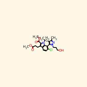 CCn1c(C(=O)OC)c(CCC(=O)OC)c2ccc(Cl)c(-c3c(C)c(C)nn3CCCO)c21